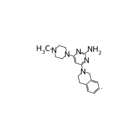 CN1CCN(c2cc(N3CCc4cc[c]cc4C3)nc(N)n2)CC1